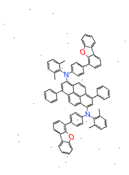 Cc1cccc(C)c1N(c1ccc(-c2cccc3c2oc2ccccc23)cc1)c1cc(-c2ccccc2)c2ccc3c(N(c4ccc(-c5cccc6c5oc5ccccc56)cc4)c4c(C)cccc4C)cc(-c4ccccc4)c4ccc1c2c43